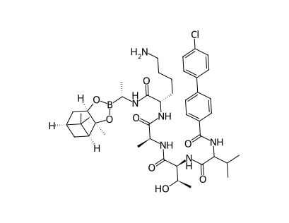 CC(C)C(NC(=O)c1ccc(-c2ccc(Cl)cc2)cc1)C(=O)N[C@H](C(=O)N[C@@H](C)C(=O)N[C@@H](CCCCN)C(=O)N[C@@H](C)B1O[C@@H]2C[C@@H]3C[C@@H](C3(C)C)[C@]2(C)O1)[C@@H](C)O